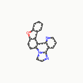 c1ccc2c(c1)oc1ccc3c(c4ncccc4c4nccn34)c12